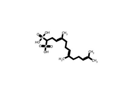 CC(C)=CCCC(C)=CCCC(C)=CCC(P(=O)(O)O)S(=O)(=O)O